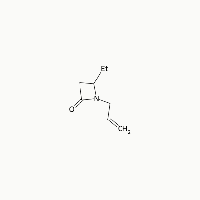 C=CCN1C(=O)CC1CC